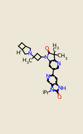 CC(C)n1c(=O)[nH]c2cc(-c3cnc4c(c3)N(C3CC(C)(N5CC6CC[C@@H]6C5)C3)C(=O)C4(C)C)ncc21